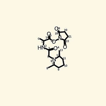 CC(NC(=O)CN1C(C)CCCC1C)C(=O)ON1C(=O)CCC1=O